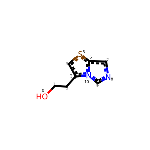 OCCc1csc2cncn12